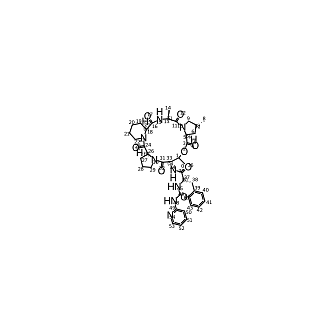 CC1OC(=O)[C@@H]2C[C@@H](C)CN2C(=O)[C@H](C)NC(=O)[C@@H]2CCCCN2C(=O)[C@@H]2CCCN2C(=O)[C@H]1NC(=O)[C@H](Cc1ccccc1)NC(=O)Nc1ccccn1